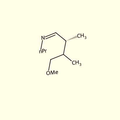 CCC/N=C\[C@H](C)C(C)COC